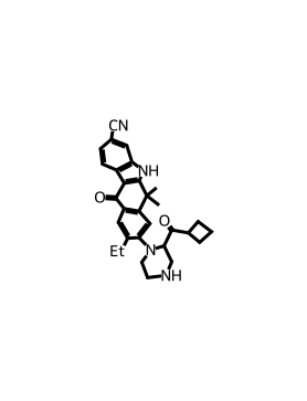 CCc1cc2c(cc1N1CCNCC1C(=O)C1CCC1)C(C)(C)c1[nH]c3cc(C#N)ccc3c1C2=O